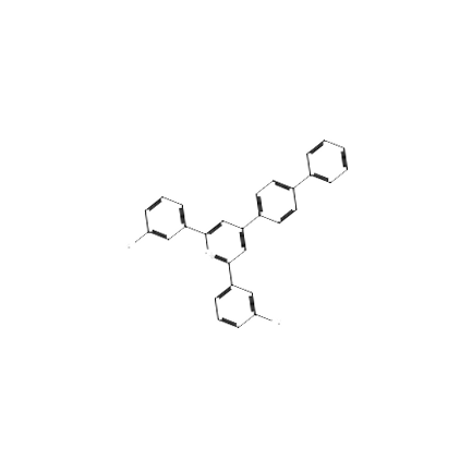 Brc1cccc(-c2cc(-c3ccc(-c4ccccc4)cc3)cc(-c3cccc(Br)c3)n2)c1